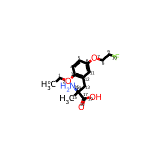 CCOc1ccc(OCCF)cc1CC(C)(N)C(=O)O